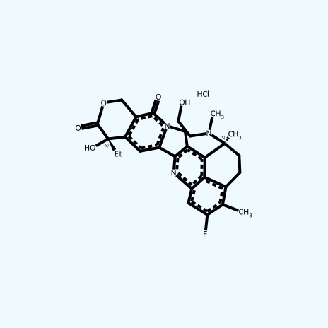 CC[C@@]1(O)C(=O)OCc2c1cc1n(c2=O)Cc2c-1nc1cc(F)c(C)c3c1c2[C@@](C)(N(C)CCO)CC3.Cl